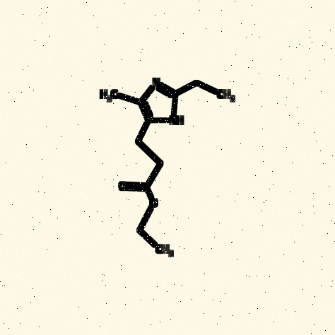 CCOC(=O)CCc1[nH]c(CC)nc1C